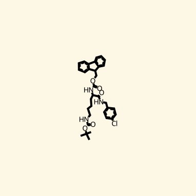 CC(C)(C)OC(=O)NCCCCC(NC(=O)OCC1c2ccccc2-c2ccccc21)C(=O)NCc1ccc(Cl)cc1